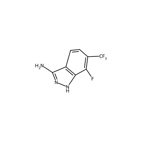 Nc1n[nH]c2c(F)c(C(F)(F)F)ccc12